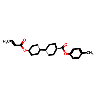 C/C=C/C(=O)O[C@H]1CC[C@H]([C@H]2CC[C@H](C(=O)Oc3ccc(C)cc3)CC2)CC1